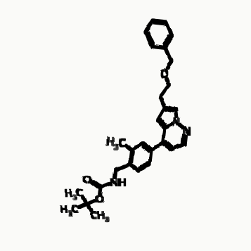 Cc1cc(-c2ccnn3cc(CCOCc4ccccc4)cc23)ccc1CNC(=O)OC(C)(C)C